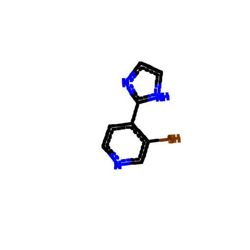 Sc1cnccc1-c1ncc[nH]1